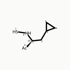 CC(=O)[C@H](CC1CC1)NS